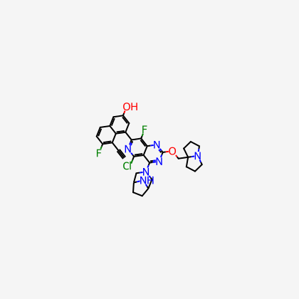 C#Cc1c(F)ccc2cc(O)cc(-c3nc(Cl)c4c(N5CC6CCC(C5)N6)nc(OCC56CCCN5CCC6)nc4c3F)c12